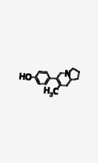 CC1=C(c2ccc(O)cc2)CN2CCCC2C1